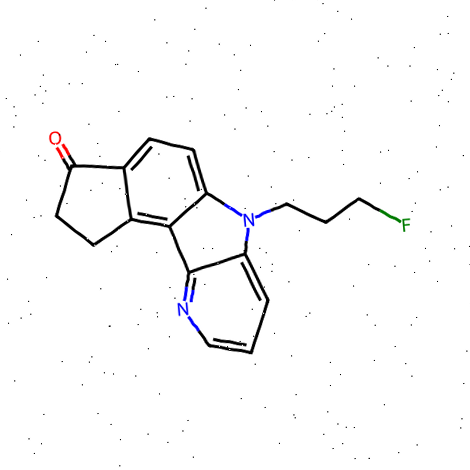 O=C1CCc2c1ccc1c2c2ncccc2n1CCCF